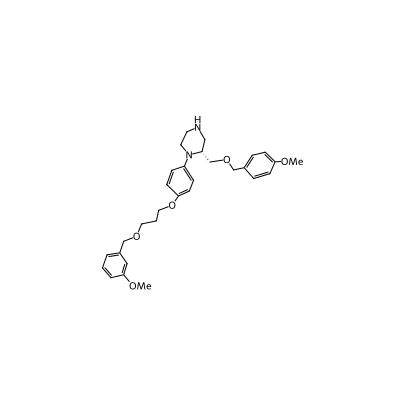 COc1ccc(COC[C@H]2CNCCN2c2ccc(OCCCOCc3cccc(OC)c3)cc2)cc1